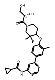 Cc1cc(-c2cc(NC(=O)C3CC3)ncn2)ccc1OC1CCN(C(=O)[C@@H](O)CO)CC1(F)F